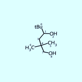 [CH2]C(C)(C)C(O)CC(C)(C)CO